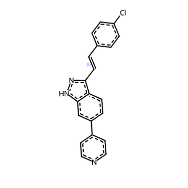 Clc1ccc(/C=C/c2n[nH]c3cc(-c4ccncc4)ccc23)cc1